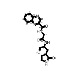 O=CC(CC1CCNC1=O)NC(=O)CNC(=O)c1cnc2ccccc2n1